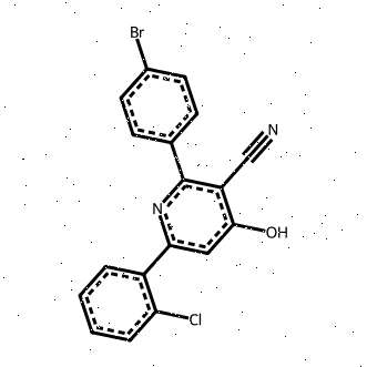 N#Cc1c(O)cc(-c2ccccc2Cl)nc1-c1ccc(Br)cc1